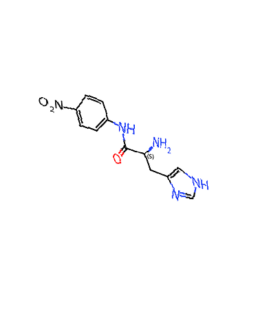 N[C@@H](Cc1c[nH]cn1)C(=O)Nc1ccc([N+](=O)[O-])cc1